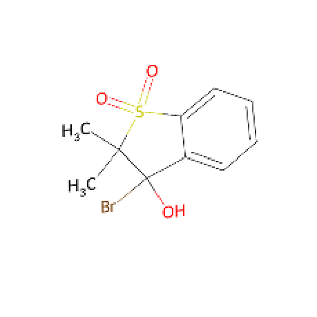 CC1(C)C(O)(Br)c2ccccc2S1(=O)=O